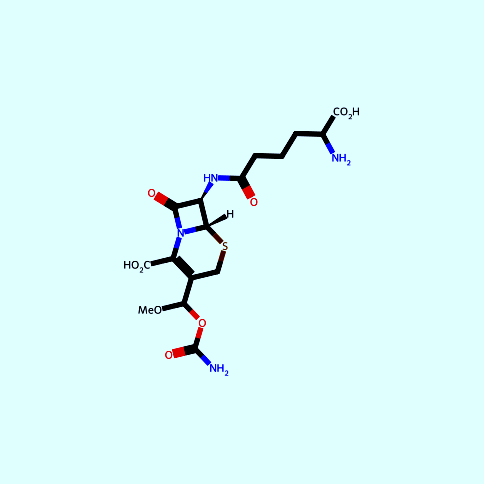 COC(OC(N)=O)C1=C(C(=O)O)N2C(=O)[C@@H](NC(=O)CCCC(N)C(=O)O)[C@@H]2SC1